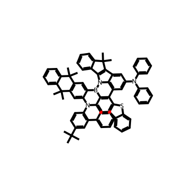 CC(C)(C)c1ccc(N2c3cc4c(cc3B3c5c2cc2c(sc6ccccc62)c5-c2cc(N(c5ccccc5)c5ccccc5)cc5c6c(n3c25)-c2ccccc2C6(C)C)C(C)(C)c2ccccc2C4(C)C)c(-c2ccccc2)c1